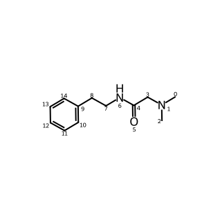 CN(C)CC(=O)NCCc1ccccc1